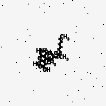 CCCCCCCC(C)(C)CCCC(C)(C)C(C1CCNCC1)C(CC(=O)O)C(=O)O